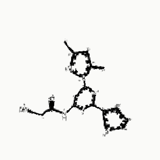 CNCC(=O)Nc1cc(-n2nc(C)cc2C)nc(-c2cccs2)n1